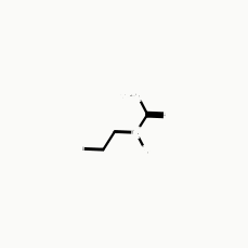 CNC(=O)N(CCCl)N=O